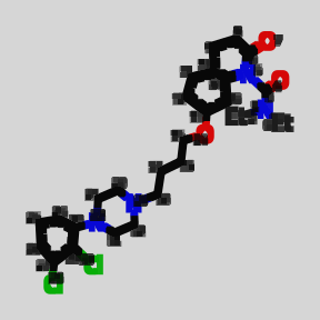 CCN(CC)C(=O)n1c(=O)ccc2ccc(OCCCCN3CCN(c4cccc(Cl)c4Cl)CC3)cc21